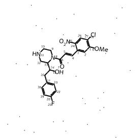 COc1cc(C=CC(=O)N2CCNCC2C(O)Cc2ccc(F)cc2)c([N+](=O)[O-])cc1Cl